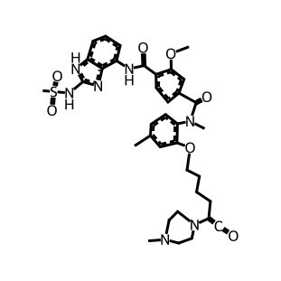 COc1cc(C(=O)N(C)c2ccc(C)cc2OCCCCC(=C=O)N2CCN(C)CC2)ccc1C(=O)Nc1cccc2[nH]c(NS(C)(=O)=O)nc12